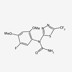 COc1cc(OC)c(N(C(N)=O)c2nnc(C(F)(F)F)s2)cc1F